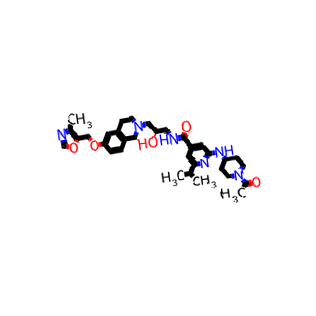 CC(=O)N1CCC(Nc2cc(C(=O)NC[C@H](O)CN3CCc4cc(OCc5ocnc5C)ccc4C3)cc(C(C)C)n2)CC1